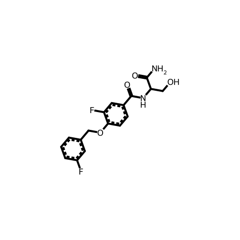 NC(=O)C(CO)NC(=O)c1ccc(OCc2cccc(F)c2)c(F)c1